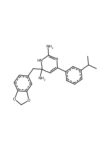 CC(C)c1cccc(C2=CC(N)(Cc3ccc4c(c3)OCO4)NC(N)=N2)c1